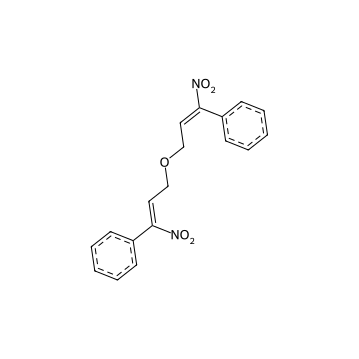 O=[N+]([O-])C(=CCOCC=C(c1ccccc1)[N+](=O)[O-])c1ccccc1